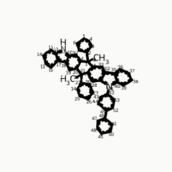 CC1(c2ccccc2)c2cc3[nH]c4ccccc4c3cc2C(C)(c2ccccc2)c2cc3c(cc21)c1ccccc1n3-c1ccc(-c2ccccc2)cc1